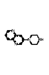 c1cnc2cc(N3CCNCC3)cnc2c1